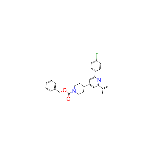 C=C(C)c1cc(C2CCN(C(=O)OCc3ccccc3)CC2)cc(-c2ccc(F)cc2)n1